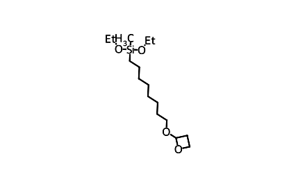 CCO[Si](C)(CCCCCCCCOC1CCO1)OCC